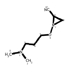 CN(C)CCCON1CC1C#N